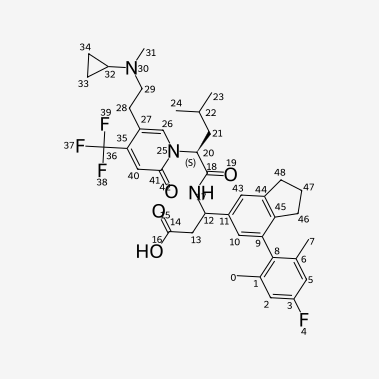 Cc1cc(F)cc(C)c1-c1cc(C(CC(=O)O)NC(=O)[C@H](CC(C)C)n2cc(CCN(C)C3CC3)c(C(F)(F)F)cc2=O)cc2c1CCC2